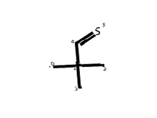 [CH2]C(C)(C)C=S